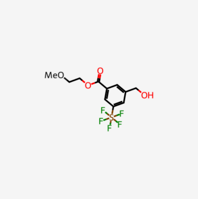 COCCOC(=O)c1cc(CO)cc(S(F)(F)(F)(F)F)c1